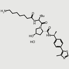 Cc1ncsc1-c1ccc([C@H](C)NC(=O)[C@@H]2C[C@@H](O)CN2C(=O)C(NC(=O)CCCCCCN)C(C)(C)C)cc1.Cl